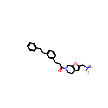 CCN(CC)Cc1cc2c(o1)CN(C(=O)CCc1cccc(CCc3ccccc3)c1)CC2